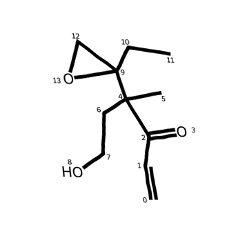 C=CC(=O)C(C)(CCO)C1(CC)CO1